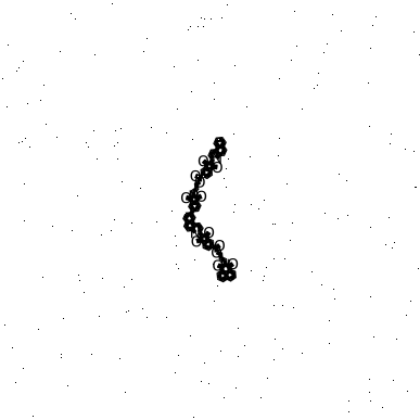 O=C(OCCCN1C(=O)c2ccc(-c3ccc4ccc5nc(C6C(=O)c7ccc(C(=O)OCCCN8C(=O)c9cccc%10cccc(c9%10)C8=O)cc7C6=O)ccc5c4c3)cc2C1=O)c1ccc2c(c1)C(=O)C(c1ccc3c(ccc4ccccc43)n1)C2=O